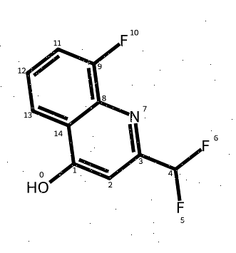 Oc1cc(C(F)F)nc2c(F)cccc12